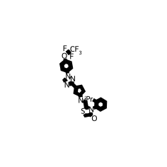 CC(C)c1ccccc1N1C(=O)CS/C1=C\N=C1\C=C(c2ncn(-c3ccc(OC(F)(F)C(F)(F)F)cc3)n2)CC1